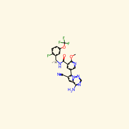 COc1ncc(-c2c(C#N)cc3c(N)ncnn23)cc1C(=O)N[C@H](C)c1cc(OC(F)(F)F)ccc1F